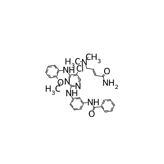 CN(C)C/C=C/C(N)=O.COc1ccccc1Nc1nc(Nc2cccc(NC(=O)c3ccccc3)c2)ncc1Cl